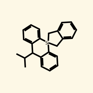 CC(C)C1c2ccccc2[Si]2(Cc3ccccc3C2)c2ccccc21